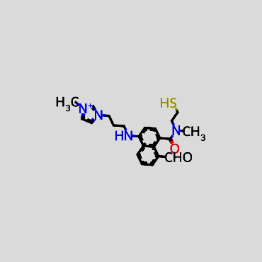 CN(CCS)C(=O)c1ccc(NCCCn2cc[n+](C)c2)c2cccc(C=O)c12